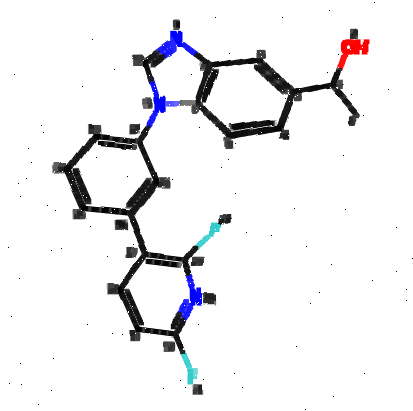 CC(O)c1ccc2c(c1)ncn2-c1cccc(-c2ccc(F)nc2F)c1